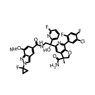 COc1cc(C(=O)NC[C@@](O)(c2cccc(F)n2)c2cc3c(c(-c4cc(Cl)c(F)cc4F)n2)OC[C@]3(C)C(N)=O)cc2cn(C3(F)CC3)nc12